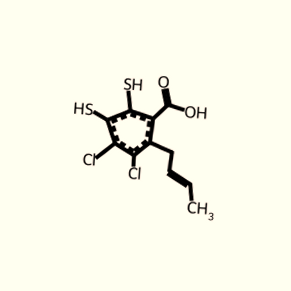 CC=CCc1c(Cl)c(Cl)c(S)c(S)c1C(=O)O